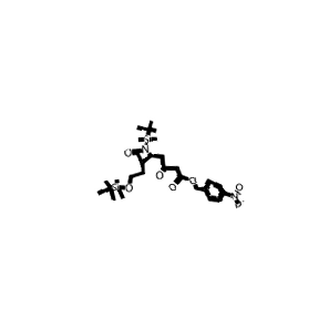 CC(C)(C)[Si](C)(C)OCCC1C(=O)N([Si](C)(C)C(C)(C)C)C1CC(=O)CC(=O)OCc1ccc([N+](=O)[O-])cc1